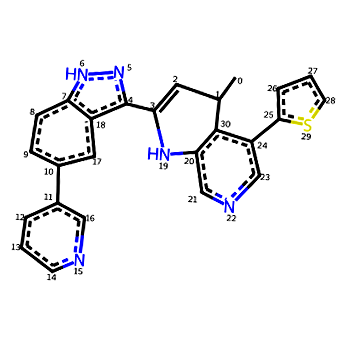 CC1C=C(c2n[nH]c3ccc(-c4cccnc4)cc23)Nc2cncc(-c3cccs3)c21